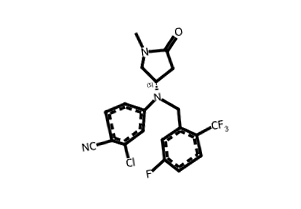 CN1C[C@@H](N(Cc2cc(F)ccc2C(F)(F)F)c2ccc(C#N)c(Cl)c2)CC1=O